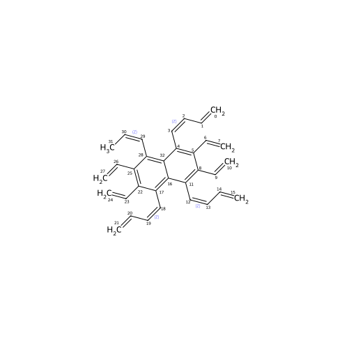 C=C/C=C\c1c(C=C)c(C=C)c(/C=C\C=C)c2c(/C=C\C=C)c(C=C)c(C=C)c(/C=C\C)c12